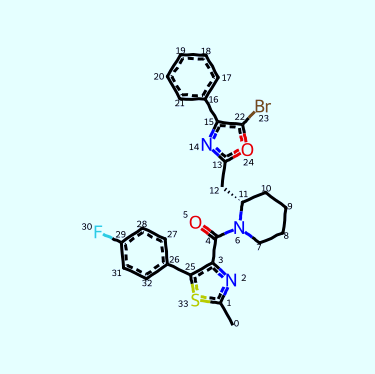 Cc1nc(C(=O)N2CCCC[C@H]2Cc2nc(-c3ccccc3)c(Br)o2)c(-c2ccc(F)cc2)s1